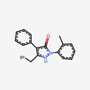 Cc1ccccc1-n1[nH]c(CC(C)C)c(-c2ccccc2)c1=O